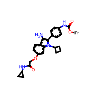 CC(C)OC(=O)Nc1ccc(-c2c(N)c3ccc(OCC(=O)NC4CC4)cc3n2C2CCC2)cc1